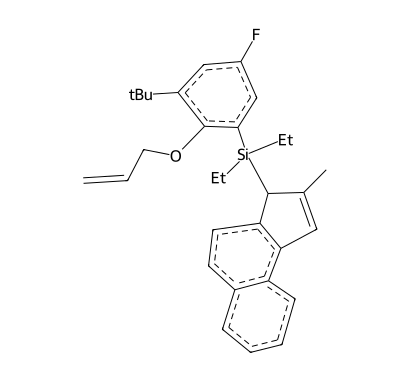 C=CCOc1c(C(C)(C)C)cc(F)cc1[Si](CC)(CC)C1C(C)=Cc2c1ccc1ccccc21